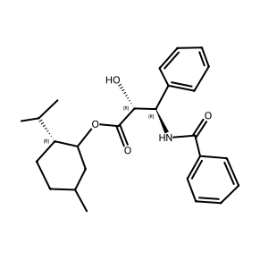 CC1CC[C@H](C(C)C)C(OC(=O)[C@H](O)[C@H](NC(=O)c2ccccc2)c2ccccc2)C1